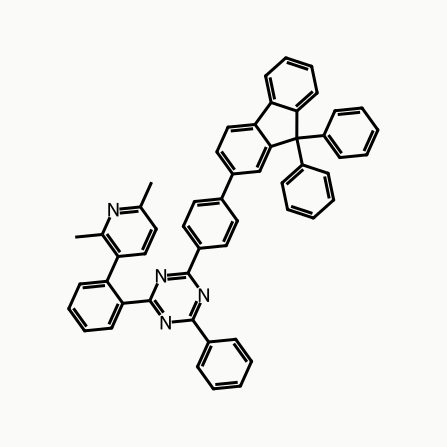 Cc1ccc(-c2ccccc2-c2nc(-c3ccccc3)nc(-c3ccc(-c4ccc5c(c4)C(c4ccccc4)(c4ccccc4)c4ccccc4-5)cc3)n2)c(C)n1